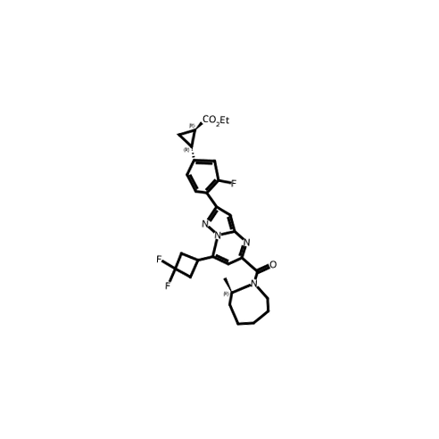 CCOC(=O)[C@@H]1C[C@H]1c1ccc(-c2cc3nc(C(=O)N4CCCCC[C@H]4C)cc(C4CC(F)(F)C4)n3n2)c(F)c1